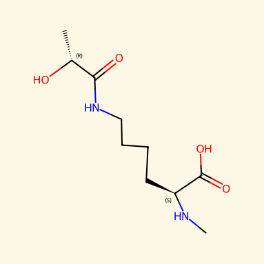 CN[C@@H](CCCCNC(=O)[C@@H](C)O)C(=O)O